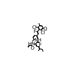 C=CC(=O)N/C(=C/C(F)=C(\C)CC)C(=C)NC(C)\C=C/C(/C=C(\F)c1c(Cl)c(C)cc(OC)c1Cl)=C\C